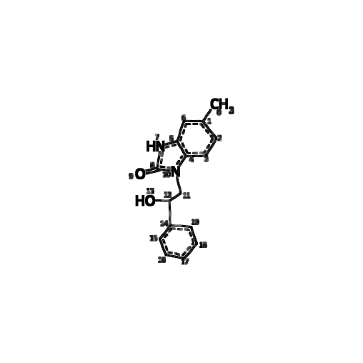 Cc1ccc2c(c1)[nH]c(=O)n2CC(O)c1ccccc1